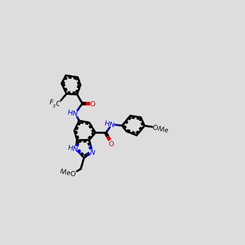 COCc1nc2c(C(=O)Nc3ccc(OC)cc3)cc(NC(=O)c3ccccc3C(F)(F)F)cc2[nH]1